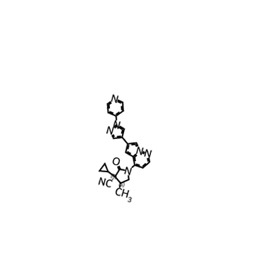 C[C@@H]1CN(c2ccnn3cc(-c4cnn(-c5ccncc5)c4)cc23)C(=O)[C@]1(C#N)C1CC1